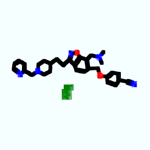 CN(C)Cc1c(COc2ccc(C#N)cc2)ccc2c(CCC3CCN(Cc4ccccn4)CC3)noc12.Cl.Cl.Cl